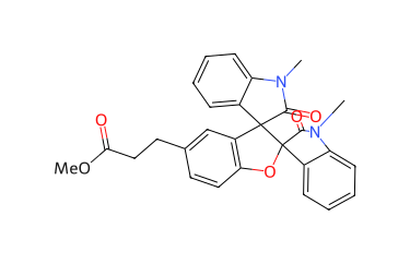 COC(=O)CCc1ccc2c(c1)C1(C(=O)N(C)c3ccccc31)C1(O2)C(=O)N(C)c2ccccc21